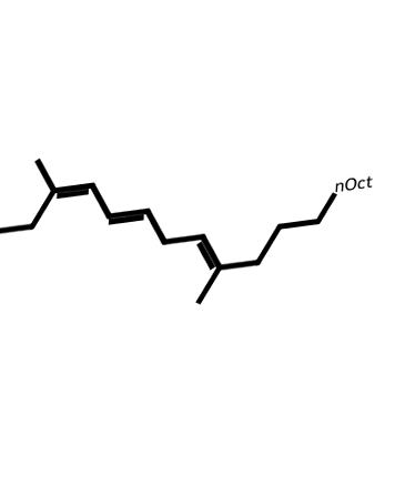 CCCCCCCCCCCC(C)=CCC=CC=C(C)CI